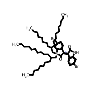 CCCCCCCCCCC(CCCCCCCC)C[N+]1(CC(CCCCCCCC)CCCCCCCCCC)C(=O)/C(=C2/C(=O)Nc3cc(Br)ccc32)c2ccc(Br)cc21